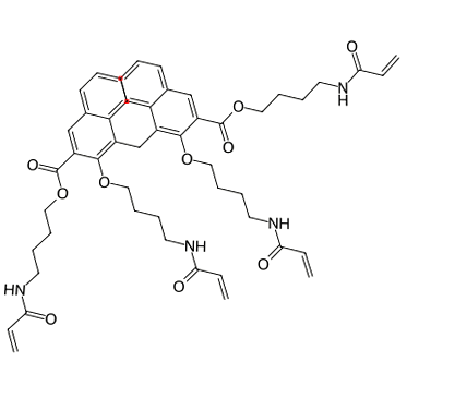 C=CC(=O)NCCCCOC(=O)c1cc2ccccc2c(Cc2c(OCCCCNC(=O)C=C)c(C(=O)OCCCCNC(=O)C=C)cc3ccccc23)c1OCCCCNC(=O)C=C